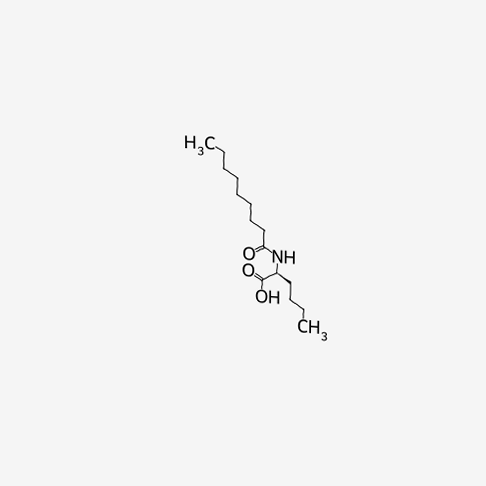 CCCCCCCCC(=O)N[C@@H](CCCC)C(=O)O